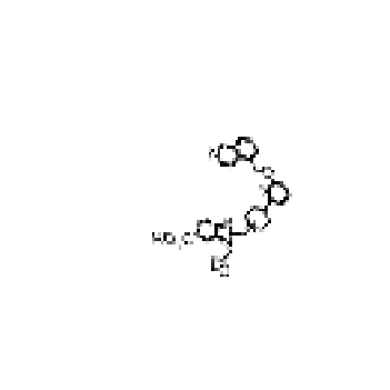 O=C(O)c1ccc2nc(CN3CCC(c4cccc(OCc5cccc6cnccc56)n4)CC3)n(CC3CCO3)c2c1